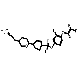 C=CCCC1CCC(C2CCC(C(F)(F)Oc3ccc(OC(F)=C(F)F)c(F)c3)CC2)OC1